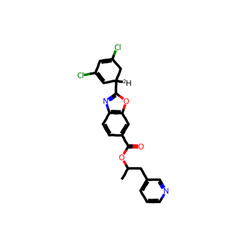 [2H]C1(c2nc3ccc(C(=O)OC(C)Cc4cccnc4)cc3o2)C=C(Cl)C=C(Cl)C1